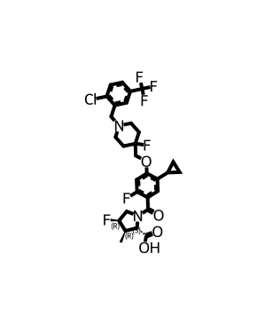 C[C@@H]1[C@@H](C(=O)O)N(C(=O)c2cc(C3CC3)c(OCC3(F)CCN(Cc4cc(C(F)(F)F)ccc4Cl)CC3)cc2F)C[C@@H]1F